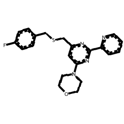 Fc1ccc(CSCc2cc(N3CCOCC3)nc(-c3ccccn3)n2)cc1